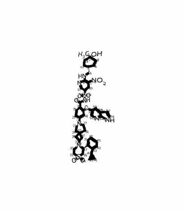 C[C@]1(O)CC[C@H](CNc2ncc(S(=O)(=O)NC(=O)c3ccc(N4CCC5(CC4)CC(N4CCS(=O)(=O)C[C@@H]4c4ccccc4C4CC4)C5)cc3Oc3cnc4[nH]ccc4c3)cc2[N+](=O)[O-])CC1